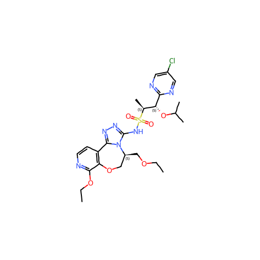 CCOC[C@H]1COc2c(ccnc2OCC)-c2nnc(NS(=O)(=O)[C@@H](C)[C@@H](OC(C)C)c3ncc(Cl)cn3)n21